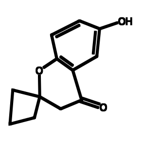 O=C1CC2(CCC2)Oc2ccc(O)cc21